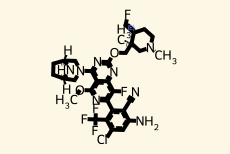 COc1nc(-c2c(C#N)c(N)cc(Cl)c2C(F)(F)F)c(F)c2nc(OC[C@]3(C)CN(C)CC/C3=C\F)nc(N3C[C@H]4CC[C@@H](C3)N4)c12